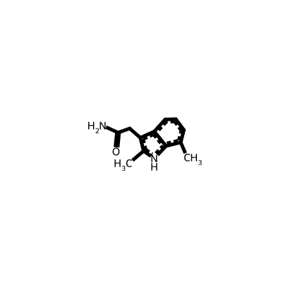 Cc1[nH]c2c(C)cccc2c1CC(N)=O